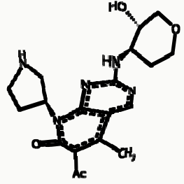 CC(=O)c1c(C)c2cnc(N[C@@H]3CCOC[C@H]3O)nc2n([C@H]2CCNC2)c1=O